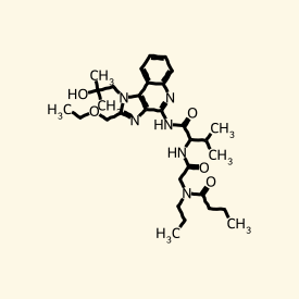 CCCC(=O)N(CCC)CC(=O)NC(C(=O)Nc1nc2ccccc2c2c1nc(COCC)n2CC(C)(C)O)C(C)C